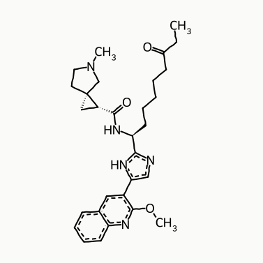 CCC(=O)CCCCC[C@H](NC(=O)[C@@H]1C[C@@]12CCN(C)C2)c1ncc(-c2cc3ccccc3nc2OC)[nH]1